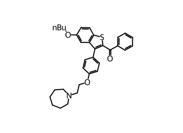 CCCCOc1ccc2sc(C(=O)c3ccccc3)c(-c3ccc(OCCN4CCCCCC4)cc3)c2c1